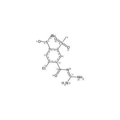 CCc1cc([S+]([O-])C(C)CC)c(S(C)(=O)=O)cc1C(=O)N=C(N)N